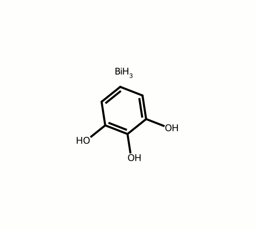 Oc1cccc(O)c1O.[BiH3]